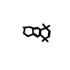 CC1(C)C=CC(C)(C)c2cc3c(cc21)C[C]CC3